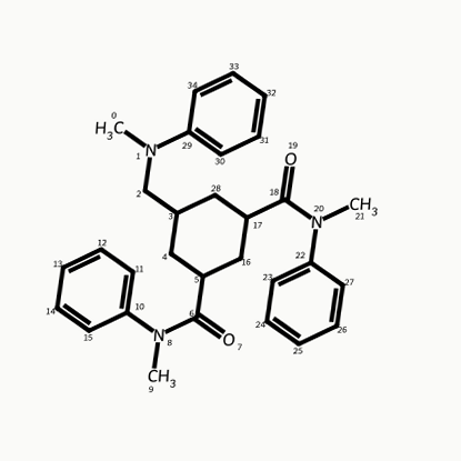 CN(CC1CC(C(=O)N(C)c2ccccc2)CC(C(=O)N(C)c2ccccc2)C1)c1ccccc1